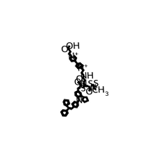 CN1C(=O)/C(=c2\sc(=Cc3ccc4c(c3)C3CCCC3N4c3ccc(C=C(c4ccccc4)c4ccccc4)cc3)c(=O)n2CC(=O)NCC[n+]2ccc(-c3cc[n+](CCC(=O)O)cc3)cc2)SC1=S